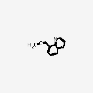 C=C=Cc1cccc2cccnc12